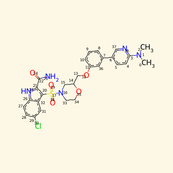 CN(C)c1ccc(-c2cccc(OCC3CN(S(=O)(=O)c4c(C(N)=O)[nH]c5ccc(Cl)cc45)CCO3)c2)cn1